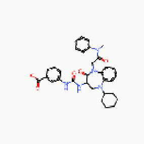 CN(C(=O)CN1C(=O)C(NC(=O)Nc2cccc(C(=O)O)c2)CN(C2CCCCC2)c2ccccc21)c1ccccc1